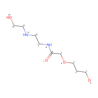 [O]CCCOCC(=O)NCCNCCO